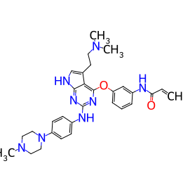 C=CC(=O)Nc1cccc(Oc2nc(Nc3ccc(N4CCN(C)CC4)cc3)nc3[nH]cc(CCN(C)C)c23)c1